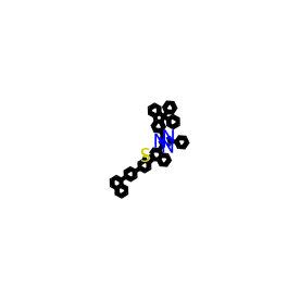 c1ccc(-c2nc(-c3ccc4c(c3)C(c3ccccc3)(c3ccccc3)c3ccccc3-4)nc(-c3cc4sc5cc(-c6ccc(-c7cccc8ccccc78)cc6)ccc5c4c4ccccc34)n2)cc1